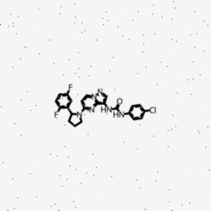 O=C(Nc1ccc(Cl)cc1)Nc1cnn2ccc(N3CCCC3c3cc(F)ccc3F)nc12